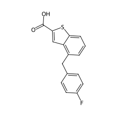 O=C(O)c1cc2c(Cc3ccc(F)cc3)cccc2s1